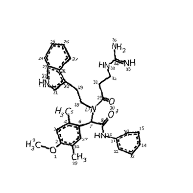 COc1cc(C)c(C(C(=O)Nc2ccccc2)N(CCc2c[nH]c3ccccc23)C(=O)CCNC(=N)N)cc1C